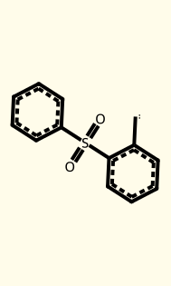 [CH]c1ccccc1S(=O)(=O)c1ccccc1